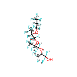 OC(F)(F)C(OC(F)(F)C(F)(OC(F)(F)C(F)(OC(F)(F)C(F)(F)C(F)(F)F)C(F)(F)F)C(F)(F)F)C(F)F